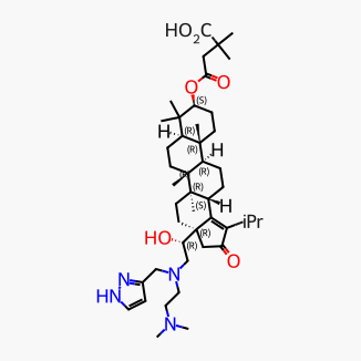 CC(C)C1=C2[C@H]3CC[C@@H]4[C@@]5(C)CC[C@H](OC(=O)CC(C)(C)C(=O)O)C(C)(C)[C@@H]5CC[C@@]4(C)[C@]3(C)CC[C@@]2([C@@H](O)CN(CCN(C)C)Cc2cc[nH]n2)CC1=O